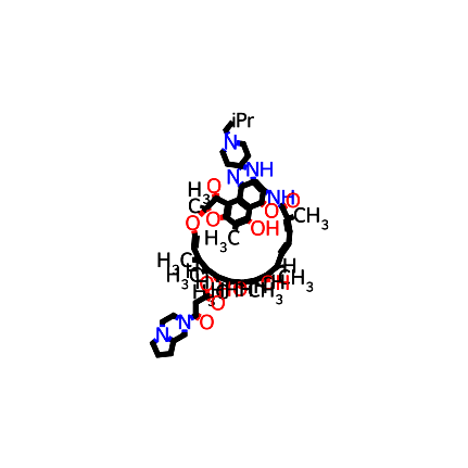 C/C1=C/C=C/[C@H](C)[C@H](O)[C@@H](C)[C@@H](O)[C@@H](C)[C@H](OC(=O)CC(=O)N2CCN3CCCC3C2)[C@H](C)[C@@H](C)/C=C/O[C@@]2(C)Oc3c(C)c(O)c4c(c3C2=O)C2=NC3(CCN(CC(C)C)CC3)NC2=C(NC1=O)C4=O